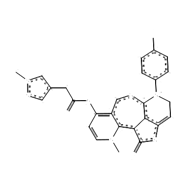 CN1C=CC(NC(=O)Cc2cnn(C)c2)=c2cnc3c4c([nH]c(=O)c-4c21)=CCN3c1ccc(F)cc1